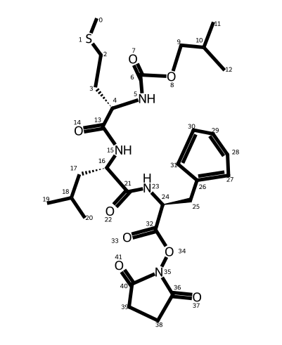 CSCC[C@H](NC(=O)OCC(C)C)C(=O)N[C@@H](CC(C)C)C(=O)N[C@@H](Cc1ccccc1)C(=O)ON1C(=O)CCC1=O